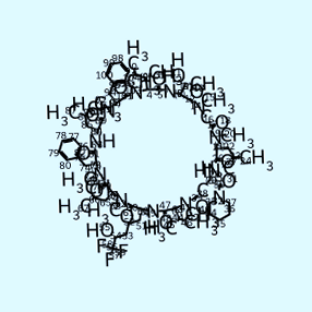 CC[C@H](C)C1C(=O)N[C@@H]([C@@H](C)O)C(=O)N(C)CC(=O)N(C)[C@@H](CC(C)C)C(=O)N[C@H](C(=O)N2CCCCC2)CC(=O)N(C)[C@@H](C(C)C)C(=O)N[C@@H](CCCC(O)C(F)(F)F)C(=O)N(C)[C@@H](CC(C)C)C(=O)N(C)[C@@H](Cc2ccccc2)C(=O)N[C@@H](CC(C)C)C(=O)N(C)[C@@H](Cc2ccccc2)C(=O)N1C